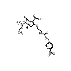 CCS[C@@H](C)[C@H]1C(=O)N2C(C(=O)O)=C(SCCNC(=O)OCc3ccc([N+](=O)[O-])cc3)C[C@H]12